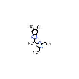 N#CCc1cc(C(C#N)=C2N=c3cc(C#N)c(C#N)cc3=N2)nc(CC#N)n1